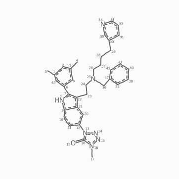 Cc1cc(C)cc(-c2[nH]c3ccc(-n4nnn(C)c4=O)cc3c2CCN(CCCCc2cccnc2)Cc2ccccc2)c1